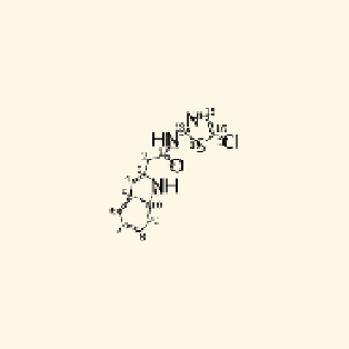 O=C(Cc1cc2ccccc2[nH]1)Nc1ncc(Cl)s1